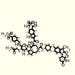 Cn1c(=O)n(C2CCC(=O)NC2=O)c2ccc(C[C@H]3CC[C@@H](CC(=O)N4CCC5CC[C@@H](C(=O)N[C@H](CCC(N)=O)C(=O)NCc6ccc(S(C)(=O)=O)cc6)N5C(=O)[C@@H](NC(=O)c5cc6cc(C(=O)P(=O)(O)O)ccc6[nH]5)C4)CC3)cc21